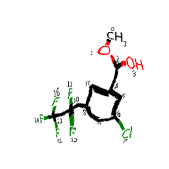 COC(O)c1cc(Cl)cc(C(F)(F)C(F)(F)F)c1